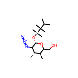 CC(C)C(C)(C)[Si](C)(C)O[C@@H]1OC(CO)[C@@H](C)[C@H](C)C1N=[N+]=[N-]